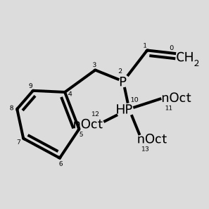 C=CP(Cc1ccccc1)[PH](CCCCCCCC)(CCCCCCCC)CCCCCCCC